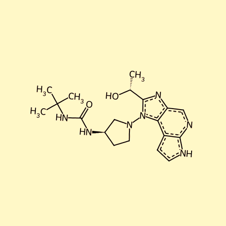 C[C@@H](O)c1nc2cnc3[nH]ccc3c2n1N1CC[C@@H](NC(=O)NC(C)(C)C)C1